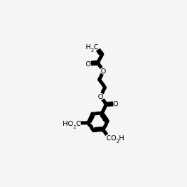 C=CC(=O)OCCOC(=O)c1cc(C(=O)O)cc(C(=O)O)c1